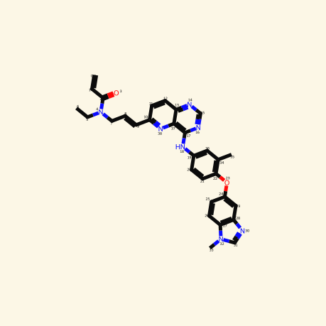 C=CC(=O)N(CC)CC=Cc1ccc2ncnc(Nc3ccc(Oc4ccc5c(c4)ncn5C)c(C)c3)c2n1